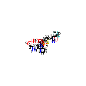 COCCN(C)CC1(c2ccccc2)CC1(NS(=O)(=O)C1CC=C(c2cc(C(F)(F)F)on2)S1)C(=O)O